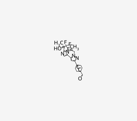 C[C@H]1Cn2nc(C34CCC(C=O)(CC3)CC4)cc2-c2cnc([C@@](C)(O)C(F)(F)F)n21